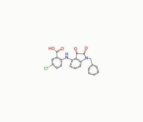 O=C(O)c1cc(Cl)ccc1Nc1cccc2c1C(=O)C(=O)N2Cc1ccccc1